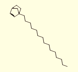 CCCCCCCCCCCCCCCC12C=CC(CC1)C2